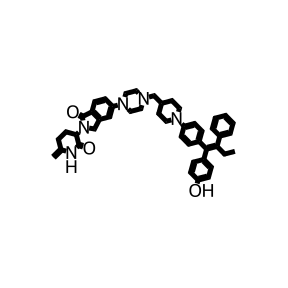 C=C1CCC(N2Cc3cc(N4CCN(CC5CCN(c6ccc(C(=C(CC)c7ccccc7)c7ccc(O)cc7)cc6)CC5)CC4)ccc3C2=O)C(=O)N1